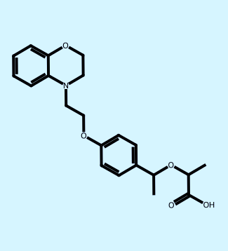 CC(OC(C)c1ccc(OCCN2CCOc3ccccc32)cc1)C(=O)O